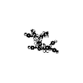 CCn1cc(C[N+]2(CC3=C(C(=O)OCc4ccc(OC)cc4)N4C(=O)[C@@H](NC(=O)C(=NOC(CC(=O)OC(C)(C)C)C(=O)OCc5ccc(OC)cc5)c5csc(NC(=O)OC(C)(C)C)n5)[C@H]4SC3)CCCC2)c(=O)c2c(Cl)c(OCc3ccc(OC)cc3)c(OCc3ccc(OC)cc3)cc21